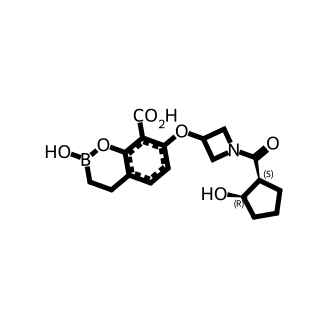 O=C(O)c1c(OC2CN(C(=O)[C@H]3CCC[C@H]3O)C2)ccc2c1OB(O)CC2